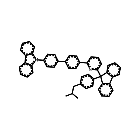 CC(C)Cc1ccc(C2(c3cccc(-c4ccc(-c5ccc(-n6c7ccccc7c7ccccc76)cc5)cc4)n3)c3ccccc3-c3ccccc32)cc1